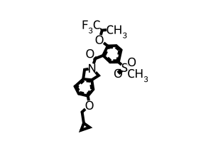 C[C@H](Oc1ccc(S(C)(=O)=O)cc1C(=O)N1Cc2ccc(OCC3CC3)cc2C1)C(F)(F)F